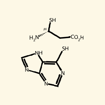 N[C@H](S)CC(=O)O.Sc1ncnc2nc[nH]c12